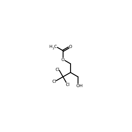 CC(=O)OCC(CO)C(Cl)(Cl)Cl